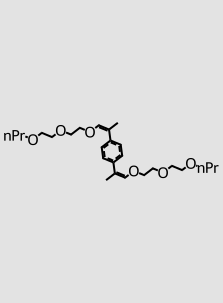 CCCOCCOCCO/C=C(/C)c1ccc(/C(C)=C\OCCOCCOCCC)cc1